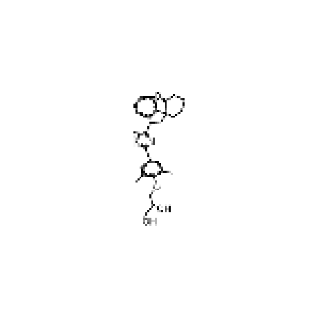 Cc1cc(-c2noc(CCC3(c4ccccc4)CCCCC3=O)n2)cc(C)c1OC[C@H](O)CO